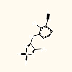 N#Cc1cccc(NC2=NS(=O)(=O)N=C2N)c1O